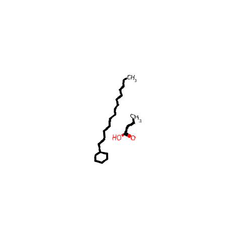 CCCC(=O)O.CCCCCCCCCCCCCCC1CCCCC1